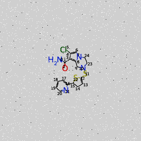 NC(=O)c1c(Cl)cn2c1CN(SC1=CCC(c3ccccn3)S1)CC2